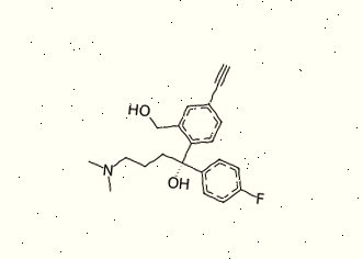 C#Cc1ccc([C@](O)(CCCN(C)C)c2ccc(F)cc2)c(CO)c1